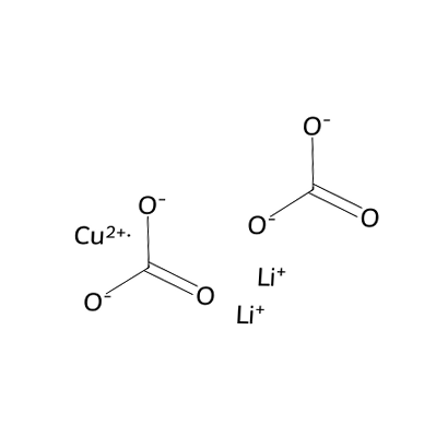 O=C([O-])[O-].O=C([O-])[O-].[Cu+2].[Li+].[Li+]